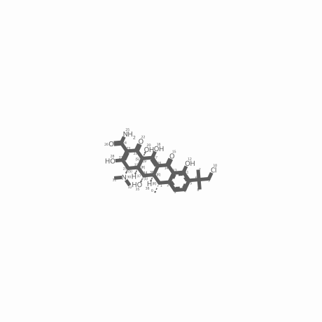 C[C@H]1c2ccc(C(C)(C)CCl)c(O)c2C(=O)C2=C(O)[C@]3(O)C(=O)C(C(N)=O)=C(O)[C@@H](N(C)C)[C@@H]3[C@@H](O)[C@@H]21